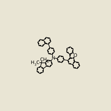 CC1(C)c2ccccc2-c2ccc(N(c3ccc(-c4cccc5ccccc45)cc3)c3ccc(-c4cc5ccccc5c5oc6ccccc6c45)cc3)cc21